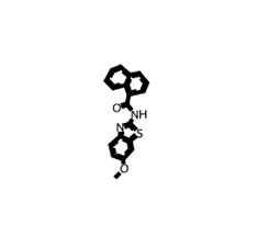 COc1ccc2nc(NC(=O)c3cccc4ccccc34)sc2c1